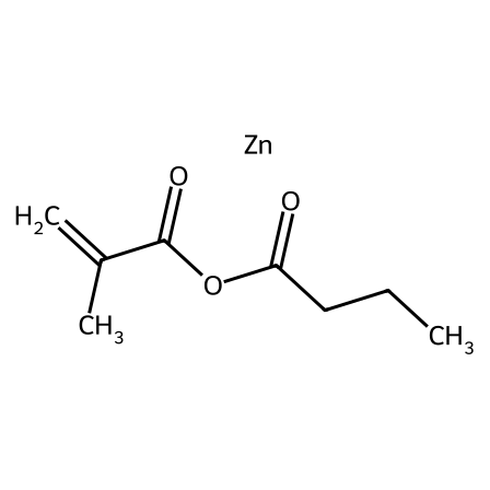 C=C(C)C(=O)OC(=O)CCC.[Zn]